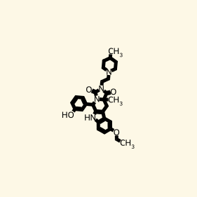 CCOc1ccc2[nH]c3c(c2c1)CC1(C)C(=O)N(CCN2CCC(C)CC2)C(=O)N1C3c1cccc(O)c1